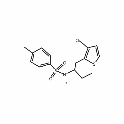 CCC(Cc1sccc1Cl)[N-]S(=O)(=O)c1ccc(C)cc1.[Li+]